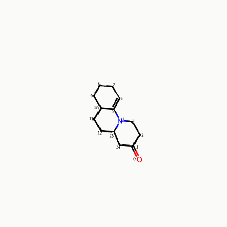 O=C1CCN2C3=CCCCC3CCC2C1